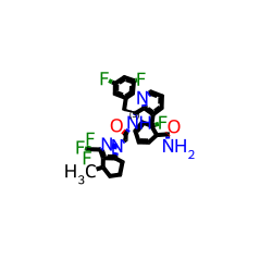 CC1CCCc2c1c(C(F)(F)F)nn2CC(=O)N[C@@H](Cc1cc(F)cc(F)c1)c1ncccc1C1(F)C=CC=CC1C(N)=O